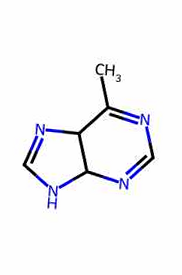 CC1=NC=NC2NC=NC12